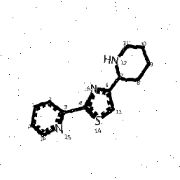 c1ccc(-c2nc(C3CCCCN3)cs2)nc1